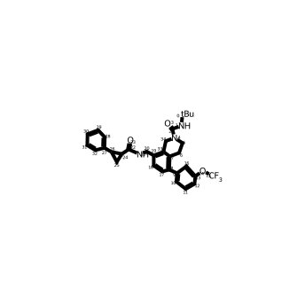 CC(C)(C)NC(=O)N1CCc2c(-c3cccc(OC(F)(F)F)c3)ccc(CNC(=O)C3CC3c3ccccc3)c2C1